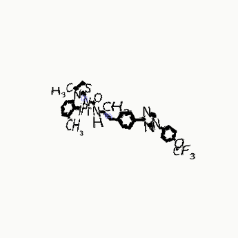 C/C(=C\c1ccc(-c2ncn(-c3ccc(OC(F)(F)F)cc3)n2)cc1)NC(=O)/N=c1\scc(C)n1-c1cccc(C)c1C(C)C